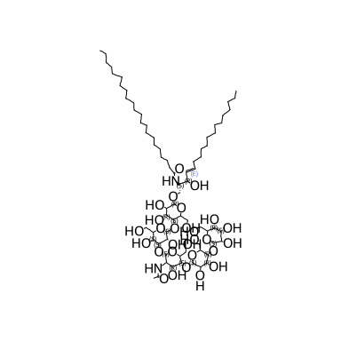 CCCCCCCCCCCCC/C=C/[C@@H](O)[C@H](CO[C@@H]1OC(CO)[C@@H](O[C@@H]2OC(CO)[C@H](O)[C@H](O[C@@H]3OC(CO)[C@@H](O[C@@H]4OC(CO)[C@H](O[C@@H]5OC(CO)[C@H](O)[C@H](O)C5O)[C@H](O)C4O)[C@H](O)C3NC(C)=O)C2O)[C@H](O)C1O)NC(=O)CCCCCCCCCCCCCCCCCCCCC